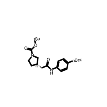 CCCCCCCCCCc1ccc(NC(=O)C[C@@H]2CCN(C(=O)OC(C)(C)C)C2)cc1